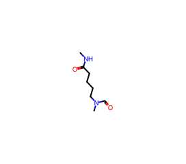 CNC(=O)CCCCN(C)C=O